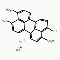 O=C(O)c1ccc2c3ccc(C(=O)O)c4c(C(=O)O)ccc(c5ccc(C(=O)O)c1c25)c43.[LiH].[LiH].[LiH].[LiH]